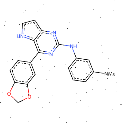 CNc1cccc(Nc2nc(-c3ccc4c(c3)OCO4)c3[nH]ccc3n2)c1